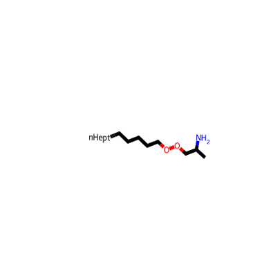 CCCCCCCCCCCCOOCC(C)N